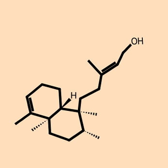 CC1=CCC[C@@H]2[C@@](C)(CC/C(C)=C/CO)[C@H](C)CC[C@@]12C